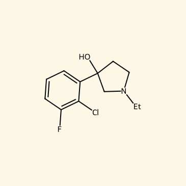 CCN1CCC(O)(c2cccc(F)c2Cl)C1